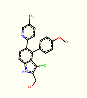 CC(C)Oc1ccc(-c2c(-c3ccc(C(F)(F)F)cn3)ccc3[nH]c(CO)c(Cl)c23)cc1